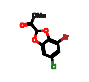 COC(=O)C1Oc2cc(Cl)cc(Br)c2O1